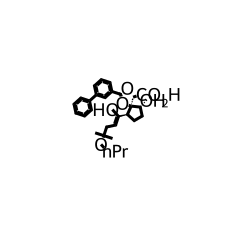 CCCOC(C)(C)CC=C(O)[C@@H]1CC[C@@H](O)[C@]1(CC(=O)O)OC(=O)c1cccc(-c2ccccc2)c1